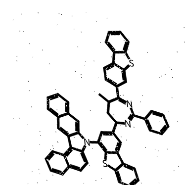 CC1CC(c2cc(-n3c4cc5ccccc5cc4c4c5ccccc5ccc43)c3sc4ccccc4c3c2)N=C(c2ccccc2)N=C1c1ccc2c(c1)sc1ccccc12